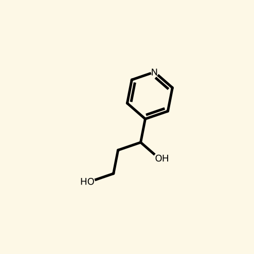 OCCC(O)c1ccncc1